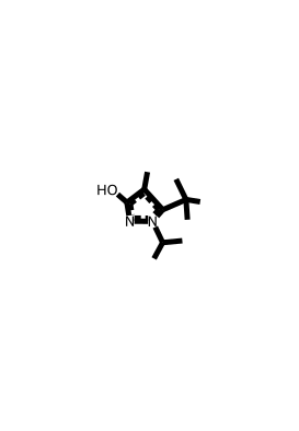 Cc1c(O)nn(C(C)C)c1C(C)(C)C